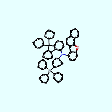 c1ccc(C2(c3ccccc3)c3ccccc3-c3c(N(c4ccc([Si](c5ccccc5)(c5ccccc5)c5ccccc5)cc4)c4cccc5oc6c7ccccc7ccc6c45)cccc32)cc1